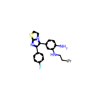 CC(C)CCNc1cc(-c2c(-c3ccc(F)cc3)nc3sccn23)ccc1N